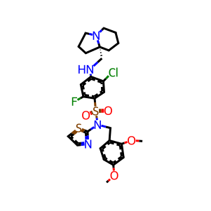 COc1ccc(CN(c2nccs2)S(=O)(=O)c2cc(Cl)c(NC[C@@]34CCCCN3CCC4)cc2F)c(OC)c1